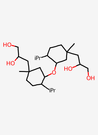 CC(C)C1CCC(C)(CC(O)CO)CC1OC1CC(C)(CC(O)CO)CCC1C(C)C